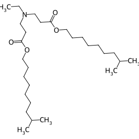 CCN(CCC(=O)OCCCCCCCC(C)C)CCC(=O)OCCCCCCCC(C)C